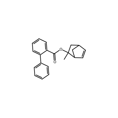 CC1(OC(=O)c2ccccc2-c2ccccc2)CC2C=CC1C2